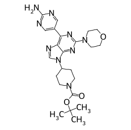 CC(C)(C)OC(=O)N1CCC(n2cnc3c(-c4cnc(N)nc4)nc(N4CCOCC4)nc32)CC1